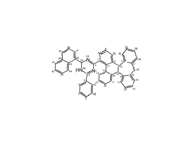 c1ccc(C2=NC(c3cccc4c3-c3ccccc3C3c5ccccc5Sc5ccccc5C43)=NC(c3cccc4ccccc34)N2)cc1